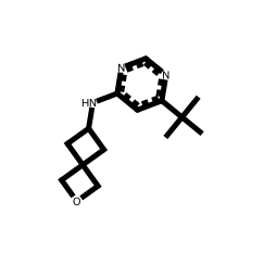 CC(C)(C)c1cc(NC2CC3(COC3)C2)ncn1